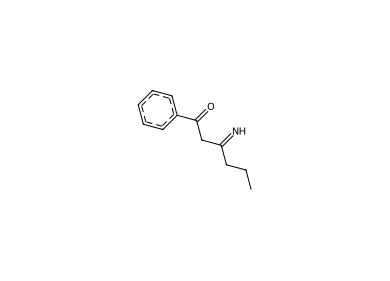 CCCC(=N)CC(=O)c1ccccc1